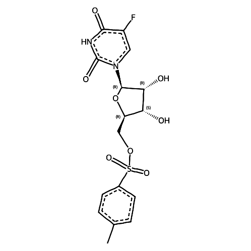 Cc1ccc(S(=O)(=O)OC[C@H]2O[C@@H](n3cc(F)c(=O)[nH]c3=O)[C@H](O)[C@@H]2O)cc1